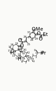 C=C(CC[C@@H](C)[C@H]1CC[C@@]2(C)[C@@H]3CC[C@H]4C(C)(C)CCC(OC(=O)/C(C)=C/c5ccc(OC(=O)CC)c(OC)c5)[C@@]45C[C@@]35CC[C@]12C)C(C)C